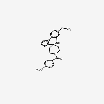 COc1ccc(C(=O)N2CCC3(CC2)Nc2cc(OC(F)(F)F)ccc2-n2cccc23)cc1